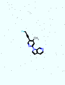 Cc1cc(-n2ccc3ccncc32)ncc1C#CCF